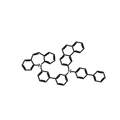 C1=Cc2ccccc2N(c2cccc(-c3cccc(N(c4ccc(-c5ccccc5)cc4)c4ccc5ccc6ccccc6c5c4)c3)c2)c2ccccc21